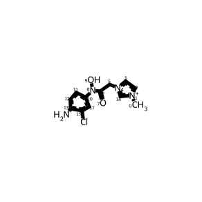 C[n+]1ccn(CC(=O)N(O)c2ccc(N)c(Cl)c2)c1